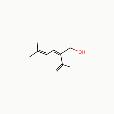 C=C(C)/C(=C\C=C(C)C)CO